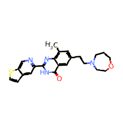 Cc1cc(CCN2CCCOCC2)cc2c(=O)[nH]c(-c3cc4ccsc4cn3)nc12